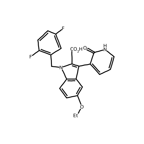 CCOc1ccc2c(c1)c(-c1ccc[nH]c1=O)c(C(=O)O)n2Cc1cc(F)ccc1F